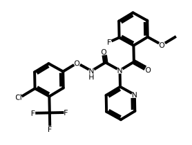 COc1cccc(F)c1C(=O)N(C(=O)NOc1ccc(Cl)c(C(F)(F)F)c1)c1ccccn1